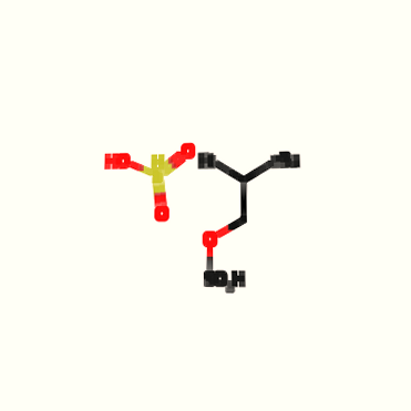 CCCCC(CC)COS(=O)(=O)O.O=[SH](=O)O